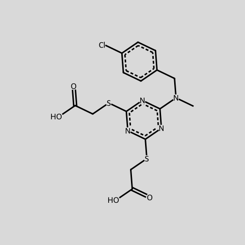 CN(Cc1ccc(Cl)cc1)c1nc(SCC(=O)O)nc(SCC(=O)O)n1